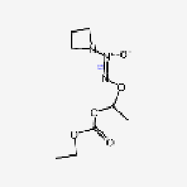 CCOC(=O)OC(C)O/N=[N+](\[O-])N1CCC1